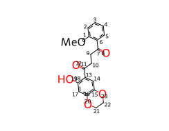 COc1ccccc1C(=O)CCC(=O)c1cc2c(cc1O)OCCO2